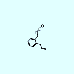 C=CCc1ccccc1CN=C=O